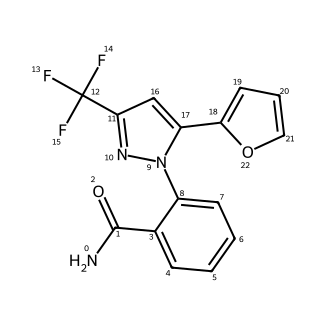 NC(=O)c1ccccc1-n1nc(C(F)(F)F)cc1-c1ccco1